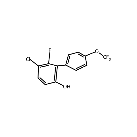 Oc1ccc(Cl)c(F)c1-c1ccc(OC(F)(F)F)cc1